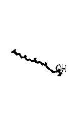 C=C(C)C(O)CC/C=C(\C)CC/C=C(\C)CC/C=C(\C)CCC=C(C)C